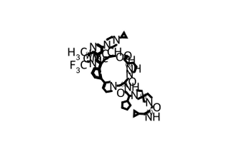 CO[C@@H](C)c1ncc(N2CCN(C3CC3)CC2)cc1-c1c2c3cc(ccc3n1CC(F)(F)F)C1=CCCN(C1)C[C@H](NC(=O)C(C1CCCC1)N1CC[C@]3(CCN(C(=O)[C@@H]4NC4C4CC4)C3)C1)C(=O)N1CCC[C@H](N1)C(=O)OCC(C)(C)C2